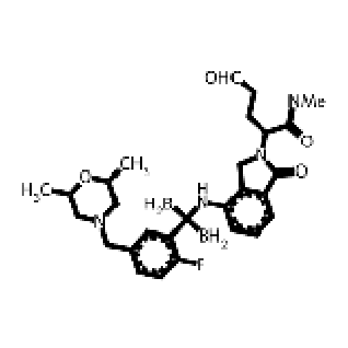 BC(B)(Nc1cccc2c1CN(C(CCC=O)C(=O)NC)C2=O)c1cc(CN2CC(C)OC(C)C2)ccc1F